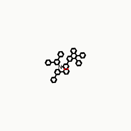 c1ccc(-c2cc(-c3ccccc3)cc(N(c3cccc(-c4ccc5c(c4)c(-c4ccccc4)c(-c4ccccc4)c4ccccc45)c3)c3ccc(-c4ccccc4)cc3-c3ccccc3)c2)cc1